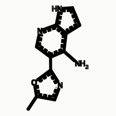 Cc1cnc(-c2cnc3[nH]ccc3c2N)o1